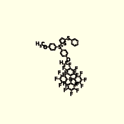 COc1ccc([S+](c2ccc(OC)cc2)c2ccc(Sc3ccccc3)s2)cc1.Fc1c(F)c(F)c([B-](c2c(F)c(F)c(F)c(F)c2F)(c2c(F)c(F)c(F)c(F)c2F)c2c(F)c(F)c(F)c(F)c2F)c(F)c1F